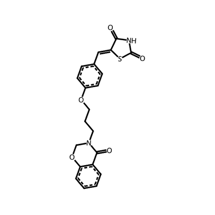 O=C1NC(=O)C(=Cc2ccc(OCCCN3COc4ccccc4C3=O)cc2)S1